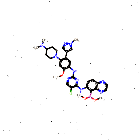 COc1cc(N2CCC(N(C)C)CC2)c(-c2cnn(C)c2)cc1Nc1ncc(Cl)c(Nc2ccc3nccnc3c2P(OC)OC)n1